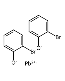 [O-]c1ccccc1Br.[O-]c1ccccc1Br.[Pb+2]